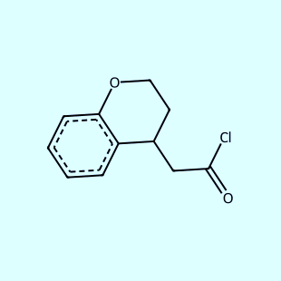 O=C(Cl)CC1CCOc2ccccc21